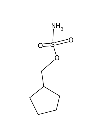 NS(=O)(=O)OCC1CCCC1